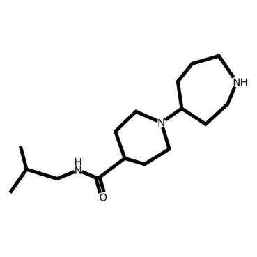 CC(C)CNC(=O)C1CCN(C2CCCNCC2)CC1